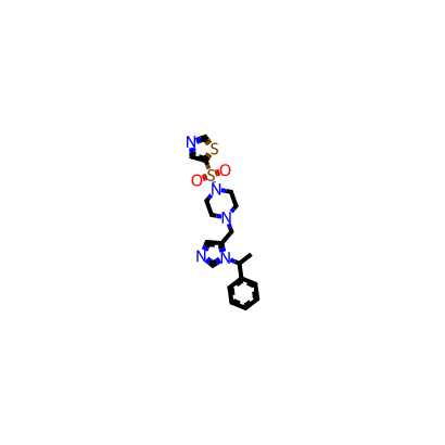 CC(c1ccccc1)n1cncc1CN1CCN(S(=O)(=O)c2cncs2)CC1